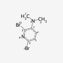 CN(C)c1ccc(Br)nc1Br